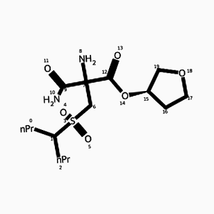 CCCC(CCC)S(=O)(=O)CC(N)(C(N)=O)C(=O)O[C@@H]1CCOC1